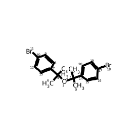 CC(C)(OC(C)(C)c1ccc(Br)cc1)c1ccc(Br)cc1